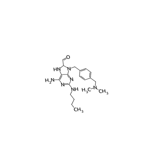 CCCCNc1nc(N)c2c(n1)N(Cc1ccc(CN(C)C)cc1)C(C=O)N2